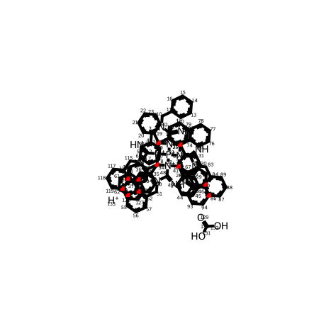 N=C(N(Cc1ccccc1)Cc1ccccc1)[N+](Cc1ccccc1)(Cc1ccccc1)[P+]([N+](Cc1ccccc1)(Cc1ccccc1)C(=N)N(Cc1ccccc1)Cc1ccccc1)([N+](Cc1ccccc1)(Cc1ccccc1)C(=N)N(Cc1ccccc1)Cc1ccccc1)[N+](Cc1ccccc1)(Cc1ccccc1)C(=N)N(Cc1ccccc1)Cc1ccccc1.O=C(O)O.[H+]